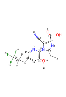 CCc1nc(C(=O)O)c(C#N)n1-c1ncc(CC(C)(C)C(F)(F)F)cc1OC